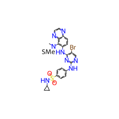 CSN(C)c1c(Nc2nc(Nc3ccc(S(=O)(=O)NC4CC4)cc3)ncc2Br)ccc2nccnc12